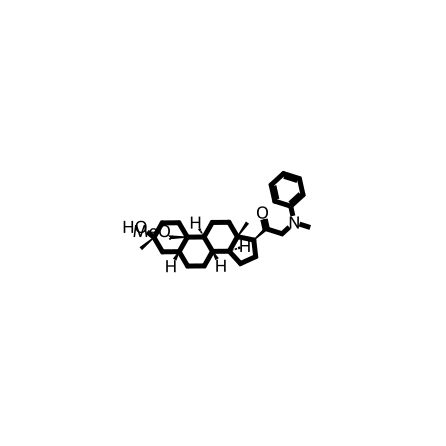 COC[C@]12CC[C@@](C)(O)C[C@H]1CC[C@H]1[C@@H]3CC[C@H](C(=O)CN(C)c4ccccc4)[C@@]3(C)CC[C@@H]12